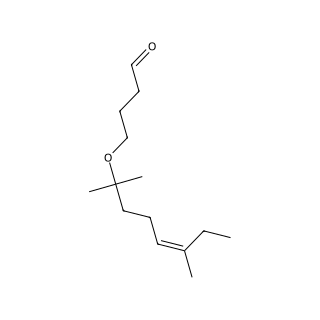 CC/C(C)=C\CCC(C)(C)OCCCC=O